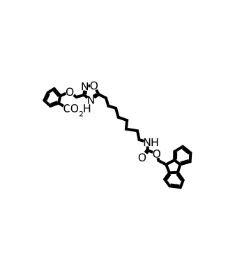 O=C(NCCCCCCCCc1nc(COc2ccccc2C(=O)O)no1)OCC1c2ccccc2-c2ccccc21